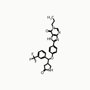 CCCn1cnc2nc(-c3ccc(OC(c4cccc(C(F)(F)F)c4)C4CNC(=O)C4)cc3)[nH]c2c1=O